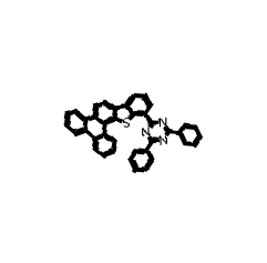 c1ccc(-c2nc(-c3ccccc3)nc(-c3cccc4c3sc3c4ccc4c5ccccc5c5ccccc5c43)n2)cc1